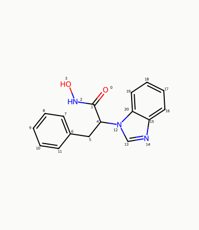 O=C(NO)C(Cc1ccccc1)n1cnc2ccccc21